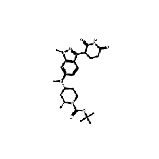 C[C@H]1C[C@H](N(C)c2ccc3c(C4CCC(=O)NC4=O)nn(C)c3c2)CCN1C(=O)OC(C)(C)C